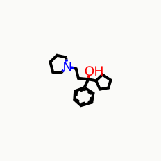 OC(CCN1CCCCC1)(c1ccccc1)C1CCCC1